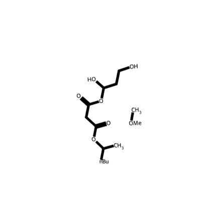 CCCCC(C)OC(=O)CC(=O)OC(O)CCO.COC